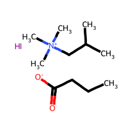 CC(C)C[N+](C)(C)C.CCCC(=O)[O-].I